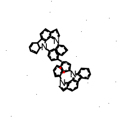 C1=CC2c3ccc4ccn(-c5ccccc5)c4c3N(c3ccc(-c4ccc(-n5c6ccccc6c6ccc7ccn(-c8ccccc8)c7c65)cc4)cc3)C2C=C1